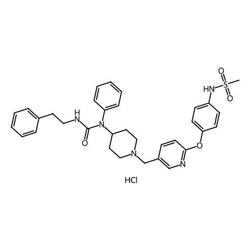 CS(=O)(=O)Nc1ccc(Oc2ccc(CN3CCC(N(C(=O)NCCc4ccccc4)c4ccccc4)CC3)cn2)cc1.Cl